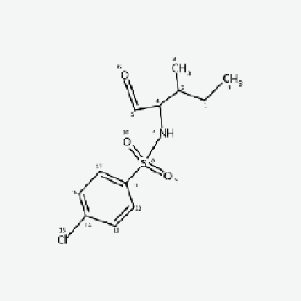 CCC(C)C(C=O)NS(=O)(=O)c1ccc(Cl)cc1